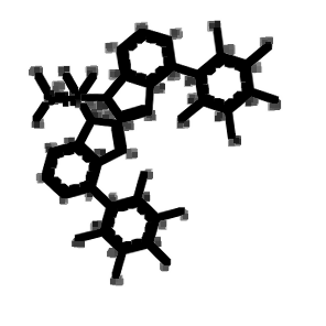 Cc1c(C)c(C)c(-c2cccc3c2C=C[CH]3[Hf]([CH3])([CH3])([CH]2C=Cc3c(-c4c(C)c(C)c(C)c(C)c4C)cccc32)=[Si](C)C)c(C)c1C